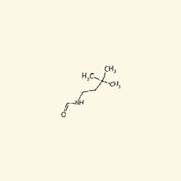 CC(C)(C)C[CH]NC=O